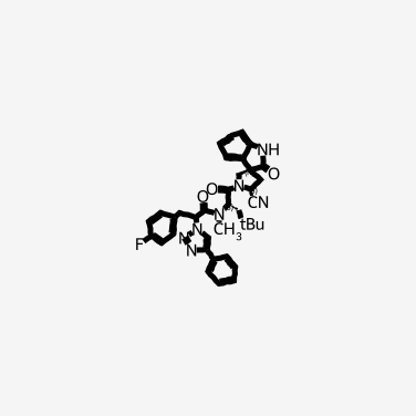 CN(C(=O)C(Cc1ccc(F)cc1)n1cc(-c2ccccc2)nn1)[C@@H](CC(C)(C)C)C(=O)N1C[C@]2(C[C@H]1C#N)C(=O)Nc1ccccc12